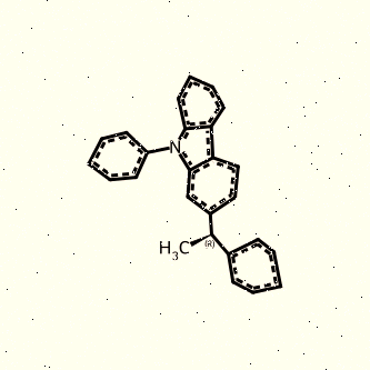 C[C@H](c1ccccc1)c1ccc2c3ccccc3n(-c3ccccc3)c2c1